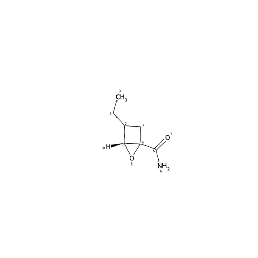 CCC1CC2(C(N)=O)O[C@H]12